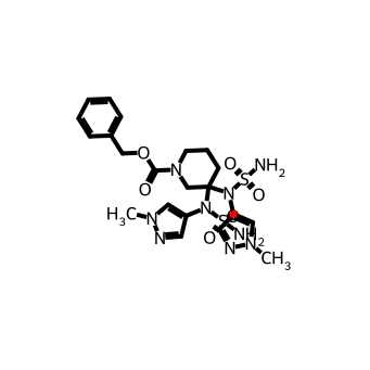 Cn1cc(N(C2(N(c3cnn(C)c3)S(N)(=O)=O)CCCN(C(=O)OCc3ccccc3)C2)S(N)(=O)=O)cn1